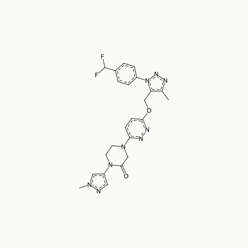 Cc1nnn(-c2ccc(C(F)F)cc2)c1COc1ccc(N2CCN(c3cnn(C)c3)C(=O)C2)nn1